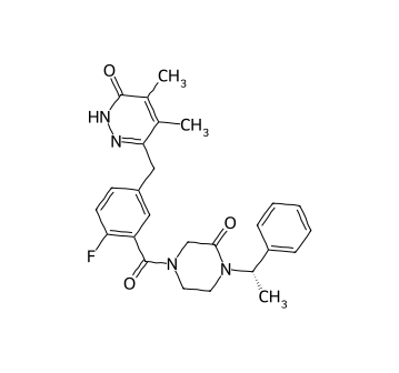 Cc1c(Cc2ccc(F)c(C(=O)N3CCN([C@@H](C)c4ccccc4)C(=O)C3)c2)n[nH]c(=O)c1C